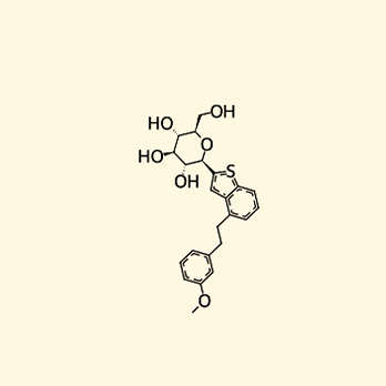 COc1cccc(CCc2cccc3sc([C@@H]4O[C@H](CO)[C@@H](O)[C@H](O)[C@H]4O)cc23)c1